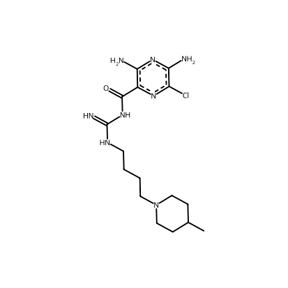 CC1CCN(CCCCNC(=N)NC(=O)c2nc(Cl)c(N)nc2N)CC1